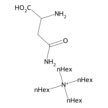 CCCCCC[N+](CCCCCC)(CCCCCC)CCCCCC.NC(=O)CC(N)C(=O)O